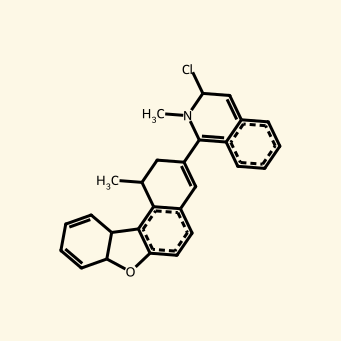 CC1CC(C2=c3ccccc3=CC(Cl)N2C)=Cc2ccc3c(c21)C1C=CC=CC1O3